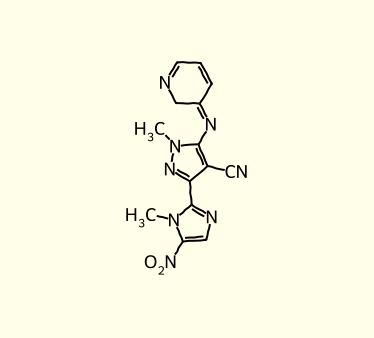 Cn1nc(-c2ncc([N+](=O)[O-])n2C)c(C#N)c1N=C1C=CC=NC1